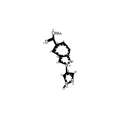 COC(=O)c1ccc2nn(-c3cnn(C)c3)cc2c1